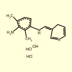 Cc1ccc(NC=C2C=NC=CC2)c(C)c1N.Cl.Cl.Cl